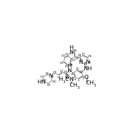 COc1cc(N(C)C)c(NC(=O)/C=C/CN2CCNCC2)cc1Nc1nccc(-c2c[nH]c3ccccc23)n1